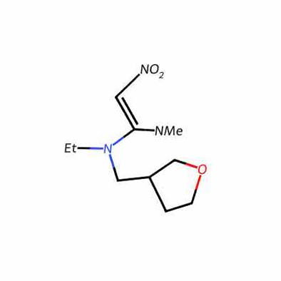 CCN(CC1CCOC1)/C(=C/[N+](=O)[O-])NC